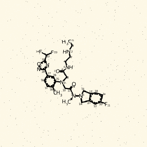 CCNCCNC(=O)CN(CC(=O)N(C)N1Cc2ccc(F)cc2C1)c1cc(-c2noc(C(F)F)n2)ccc1C